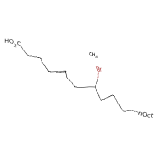 C.CCCCCCCCCCCC(Br)CCCCCC(=O)O